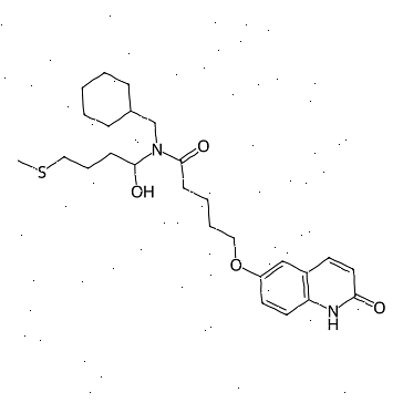 CSCCCC(O)N(CC1CCCCC1)C(=O)CCCCOc1ccc2[nH]c(=O)ccc2c1